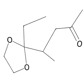 CCC1(C(C)CC(C)=O)OCCO1